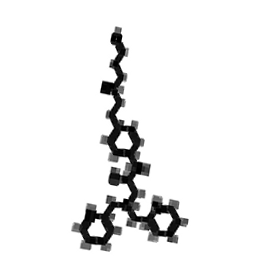 O=C[CH]CNCCc1ccc(NC(=O)CN(Cc2ccccn2)Cc2ccccn2)cc1